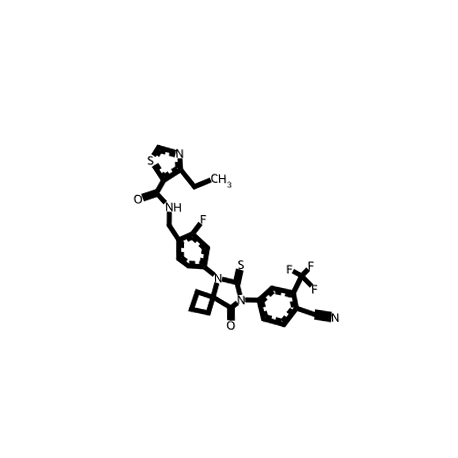 CCc1ncsc1C(=O)NCc1ccc(N2C(=S)N(c3ccc(C#N)c(C(F)(F)F)c3)C(=O)C23CCC3)cc1F